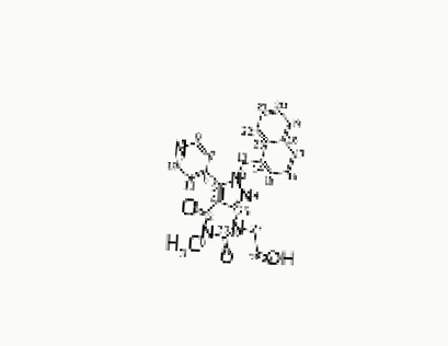 Cn1c(=O)c2c(-c3ccncc3)n(Cc3cccc4ccccc34)nc2n(CCO)c1=O